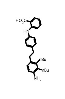 CCCCc1c(N)ccc(CCc2ccc(Nc3ccccc3C(=O)O)cc2)c1CCCC